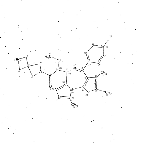 CC[C@@H](C(=O)N1CC2(CNC2)C1)[C@@H]1N=C(c2ccc(Cl)cc2)c2c(sc(C)c2C)-n2c(C)nnc21